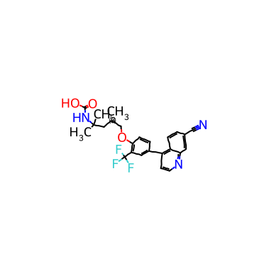 C[C@H](COc1ccc(-c2ccnc3cc(C#N)ccc23)cc1C(F)(F)F)CC(C)(C)NC(=O)O